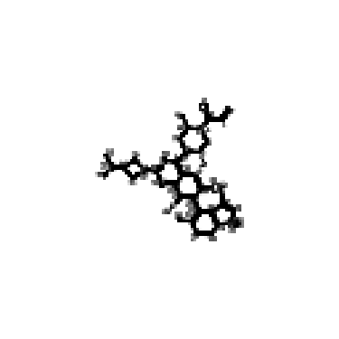 C=CC(=O)N1C[C@H](C)N(c2nc(N3CC(N(C)C)C3)nc3c(F)c(-c4c(C)ccc5[nH]cc(F)c45)c(Cl)cc23)C[C@H]1C